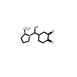 CCCC(C1CCC(=O)C(=O)C1)N1CCC[C@H]1C(=O)O